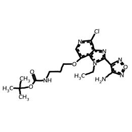 CCn1c(-c2nonc2N)nc2c(Cl)ncc(OCCCNC(=O)OC(C)(C)C)c21